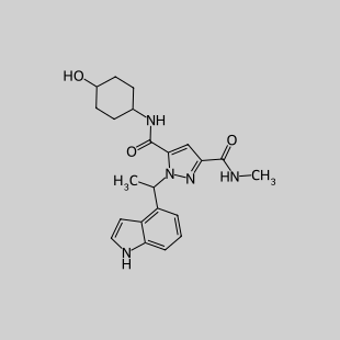 CNC(=O)c1cc(C(=O)NC2CCC(O)CC2)n(C(C)c2cccc3[nH]ccc23)n1